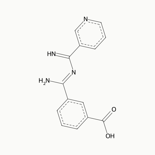 N=C(/N=C(\N)c1cccc(C(=O)O)c1)c1cccnc1